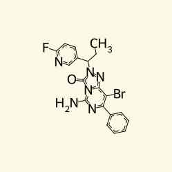 CCC(c1ccc(F)nc1)n1nc2c(Br)c(-c3ccccc3)nc(N)n2c1=O